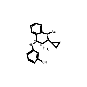 CC(=O)N1c2ccccc2[C@H](Nc2cccc(C#N)c2)[C@@H](C)C1C1CC1